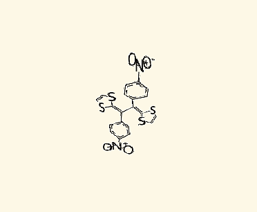 O=[N+]([O-])c1ccc(C(=C2SC=CS2)C(=C2SC=CS2)c2ccc([N+](=O)[O-])cc2)cc1